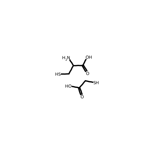 NC(CS)C(=O)O.O=C(O)CS